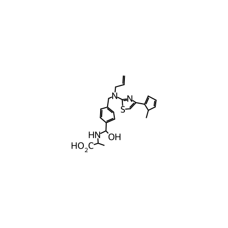 C=CCN(Cc1ccc(C(O)NC(C)C(=O)O)cc1)c1nc(C2=CC=CC2C)cs1